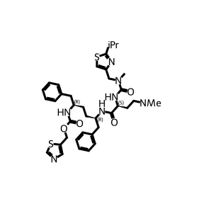 CNCC[C@H](NC(=O)N(C)Cc1csc(C(C)C)n1)C(=O)N[C@H](CC[C@H](Cc1ccccc1)NC(=O)OCc1cncs1)Cc1ccccc1